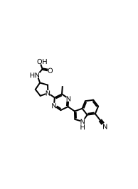 Cc1nc(-c2c[nH]c3c(C#N)cccc23)cnc1N1CCC(NC(=O)O)C1